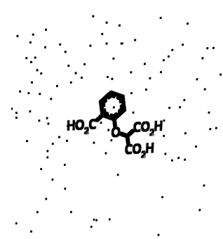 O=C(O)c1ccccc1OC(C(=O)O)C(=O)O